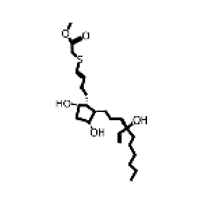 C=CC(O)(CCCCCC)CCC[C@@H]1[C@@H](CCC=CSCC(=O)OC)[C@H](O)C[C@H]1O